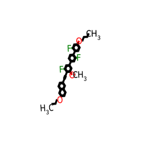 CCCCOc1ccc(-c2ccc(-c3cc(F)c(C#Cc4ccc5cc(OCCCC)ccc5c4)c(OC)c3)cc2F)c(F)c1